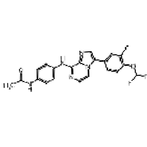 CC(=O)Nc1ccc(Nc2nccn3c(-c4ccc(OC(F)F)c(Cl)c4)cnc23)cc1